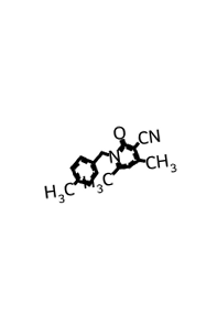 Cc1ccc(Cn2c(C)cc(C)c(C#N)c2=O)cc1